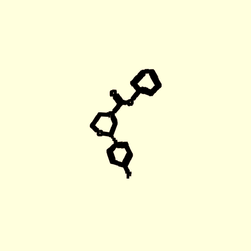 O=C(Oc1ccccc1)N1CCO[C@@H](c2ccc(F)cc2)C1